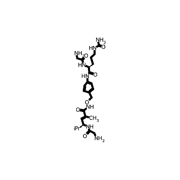 C/C(=C\[C@@H](NC(=O)CN)C(C)C)C(=O)NOCc1ccc(NC(=O)[C@H](CCCNC(N)=O)NC(=O)CN)cc1